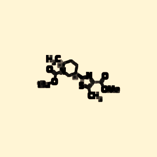 COC(=O)c1nc([C@@H]2CC[C@@H](C)N(C(=O)OC(C)(C)C)C2)sc1C